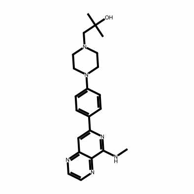 CNc1nc(-c2ccc(N3CCN(CC(C)(C)O)CC3)cc2)cc2nccnc12